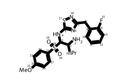 CCCC(N)C(Nc1nc(Cc2ccccc2F)ns1)S(=O)(=O)c1ccc(OC)cc1